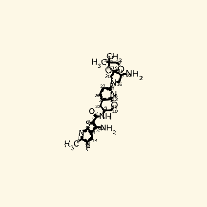 Cc1nc2sc(C(=O)NC3COc4nc(N5CC(N)C6(C5)OCC(C)(C)O6)ccc4C3)c(N)c2cc1F